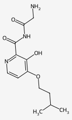 CC(C)CCOc1ccnc(C(=O)NC(=O)CN)c1O